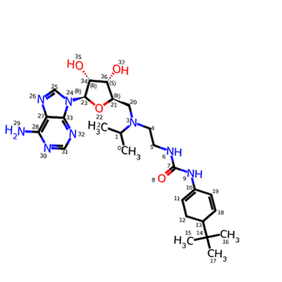 CC(C)N(CCNC(=O)NC1=CCC(C(C)(C)C)C=C1)C[C@H]1O[C@@H](n2cnc3c(N)ncnc32)[C@H](O)[C@@H]1O